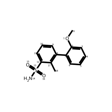 COc1ccccc1-c1cccc(S(N)(=O)=O)c1C